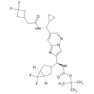 CC(C)(C)OC(=O)N[C@H](c1cn2ncc([C@H](NC(=O)CC3CC(F)(F)C3)C3CC3)cc2n1)C1C[C@@H]2[C@H](C1)C2(F)F